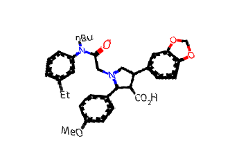 CCCCN(C(=O)CN1CC(c2ccc3c(c2)OCO3)C(C(=O)O)C1c1ccc(OC)cc1)c1cccc(CC)c1